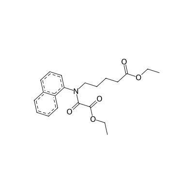 CCOC(=O)CCCCN(C(=O)C(=O)OCC)c1cccc2ccccc12